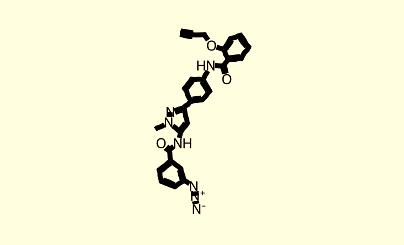 C#CCOc1ccccc1C(=O)Nc1ccc(-c2cc(NC(=O)c3cccc(N=[N+]=[N-])c3)n(C)n2)cc1